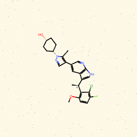 COc1ccc(F)c(Cl)c1[C@@H](C)c1c[nH]c2ncc(-c3cnn([C@H]4CC[C@@H](O)CC4)c3C)cc12